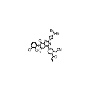 C=CC(=O)N1CCN(c2nc(N3CC(N(CC)CC)C3)nc3c(=O)n(-c4cccc(Cl)c4C(F)(F)F)ncc23)C[C@H]1CC#N